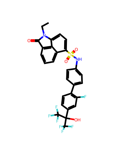 CCN1C(=O)c2cccc3c(S(=O)(=O)Nc4ccc(-c5ccc(C(O)(C(F)(F)F)C(F)(F)F)cc5F)cc4)ccc1c23